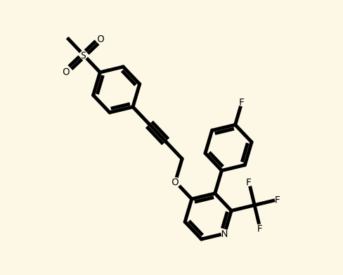 CS(=O)(=O)c1ccc(C#CCOc2ccnc(C(F)(F)F)c2-c2ccc(F)cc2)cc1